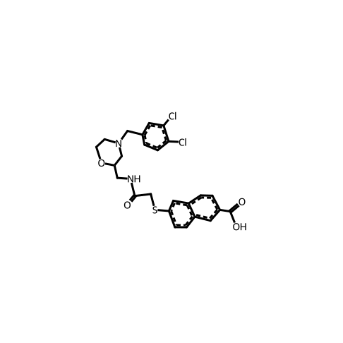 O=C(CSc1ccc2cc(C(=O)O)ccc2c1)NCC1CN(Cc2ccc(Cl)c(Cl)c2)CCO1